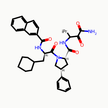 CC(C)C(NC(=O)[C@@H]1C[C@H](c2ccccc2)CN1C(=O)[C@@H](CC1CCCCC1)NC(=O)c1ccc2ccccc2c1)C(=O)C(N)=O